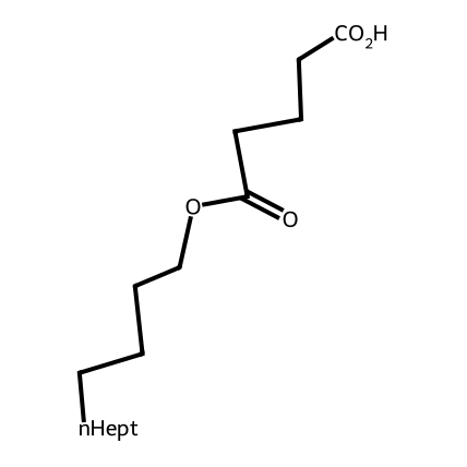 CCCCCCCCCCCOC(=O)CCCC(=O)O